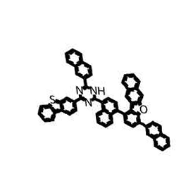 c1ccc2cc(C3=NC(c4ccc5c(c4)sc4ccccc45)=NC(c4ccc(-c5ccc(-c6ccc7ccccc7c6)c6oc7cc8ccccc8cc7c56)c5ccccc45)N3)ccc2c1